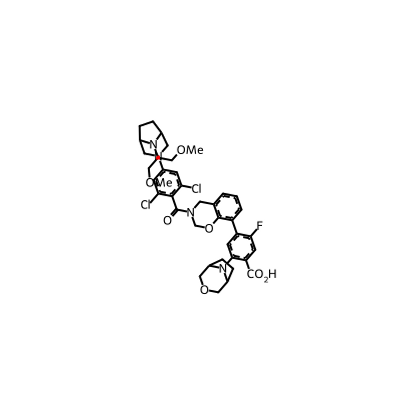 COCC(COC)N1C2CCC1CN(c1cc(Cl)c(C(=O)N3COc4c(cccc4-c4cc(N5C6CCC5COC6)c(C(=O)O)cc4F)C3)c(Cl)c1)C2